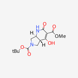 COC(=O)C1=C(O)[C@@H]2CN(C(=O)OC(C)(C)C)C[C@H]2NC1=O